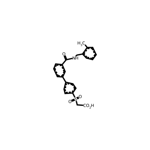 Cc1ccccc1CNC(=O)c1cccc(-c2ccc(S(=O)(=O)CC(=O)O)cc2)c1